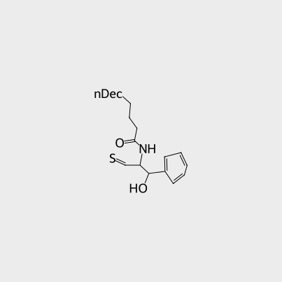 CCCCCCCCCCCCCC(=O)NC(C=S)C(O)c1ccccc1